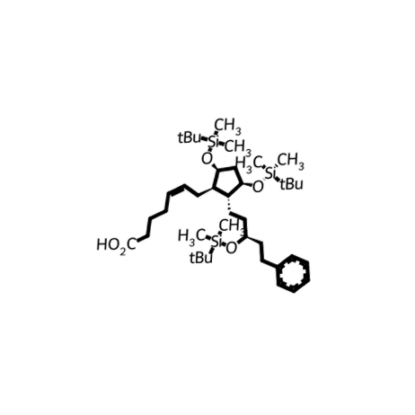 CC(C)(C)[Si](C)(C)O[C@H](CCc1ccccc1)CC[C@@H]1[C@@H](C/C=C\CCCC(=O)O)[C@@H](O[Si](C)(C)C(C)(C)C)C[C@H]1O[Si](C)(C)C(C)(C)C